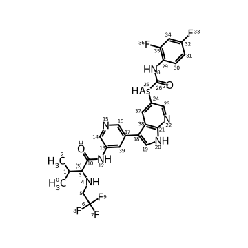 CC(C)[C@H](NCC(F)(F)F)C(=O)Nc1cncc(-c2c[nH]c3ncc([AsH]C(=O)Nc4ccc(F)cc4F)cc23)c1